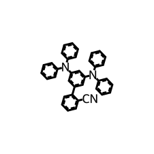 N#Cc1ccccc1-c1cc(N(c2ccccc2)c2ccccc2)cc(N(c2ccccc2)c2ccccc2)c1